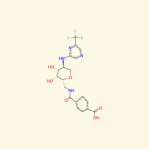 O=C(O)c1ccc(C(=O)NC[C@H]2OC[C@H](Nc3cncc(C(F)(F)F)n3)[C@@H](O)[C@H]2O)cc1